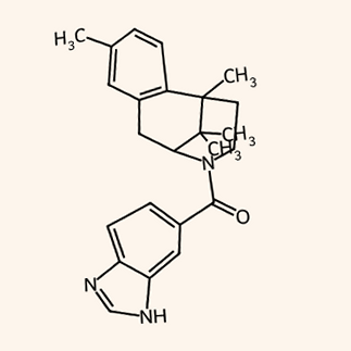 Cc1ccc2c(c1)CC1N(C(=O)c3ccc4nc[nH]c4c3)CCC2(C)C1(C)C